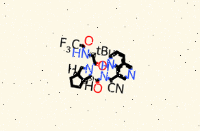 CC(C)(C)[C@H](NC(=O)C(F)(F)F)C(=O)N1C[C@@H]2CCC[C@@H]2[C@H]1C(=O)NC(C#N)c1cncc2cccnc12